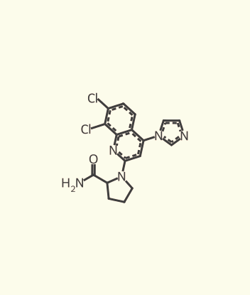 NC(=O)C1CCCN1c1cc(-n2ccnc2)c2ccc(Cl)c(Cl)c2n1